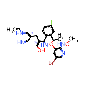 CCN/C=C(\C=N)C/C(=C/O)C(=N)c1ccc(F)cc1C(C)Oc1cc(Br)cnc1NOC